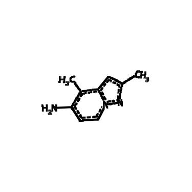 Cc1cc2c(C)c(N)ccn2n1